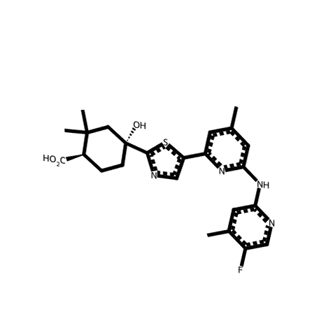 Cc1cc(Nc2cc(C)c(F)cn2)nc(-c2cnc([C@@]3(O)CC[C@@H](C(=O)O)C(C)(C)C3)s2)c1